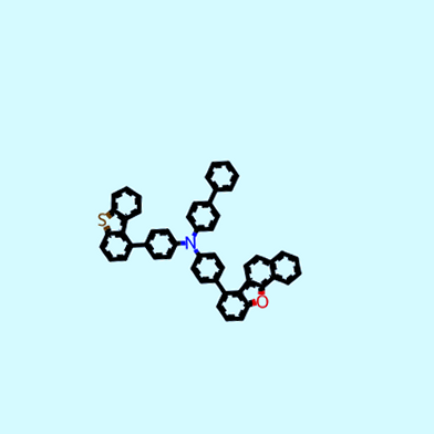 c1ccc(-c2ccc(N(c3ccc(-c4cccc5oc6c7ccccc7ccc6c45)cc3)c3ccc(-c4cccc5sc6ccccc6c45)cc3)cc2)cc1